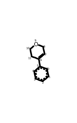 [c]1ccccc1C1=CCOCC1